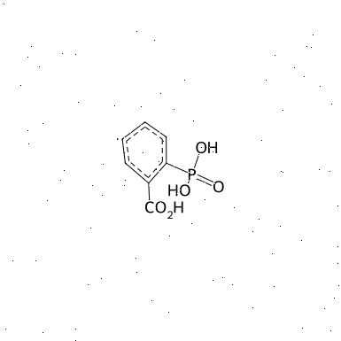 O=C(O)c1c[c]ccc1P(=O)(O)O